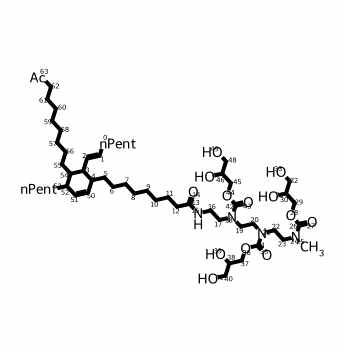 CCCCCC=CC1C(CCCCCCCCC(=O)NCCN(CCN(CCN(C)C(=O)OCC(O)CO)C(=O)OCC(O)CO)C(=O)OCC(O)CO)C=CC(CCCCC)C1CCCCCCCCC(C)=O